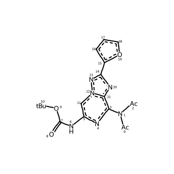 CC(=O)N(C(C)=O)c1nc(NC(=O)OC(C)(C)C)cn2nc(-c3ccco3)nc12